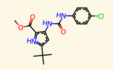 COC(=O)c1[nH]c(C(C)(C)C)cc1NC(=O)Nc1ccc(Cl)cc1